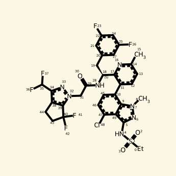 CCS(=O)(=O)Nc1nn(C)c2c(-c3ccc(C)nc3[C@H](Cc3cc(F)cc(F)c3)NC(=O)Cn3nc(C(F)F)c4c3C(F)(F)CC4)ccc(Cl)c12